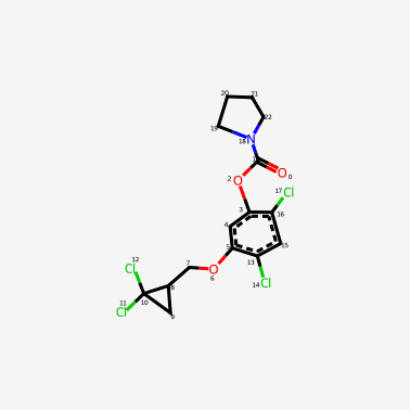 O=C(Oc1cc(OCC2CC2(Cl)Cl)c(Cl)cc1Cl)N1CCCC1